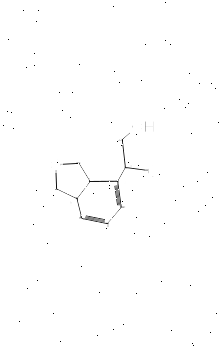 CC(CO)C1=CC=CC2COCC12